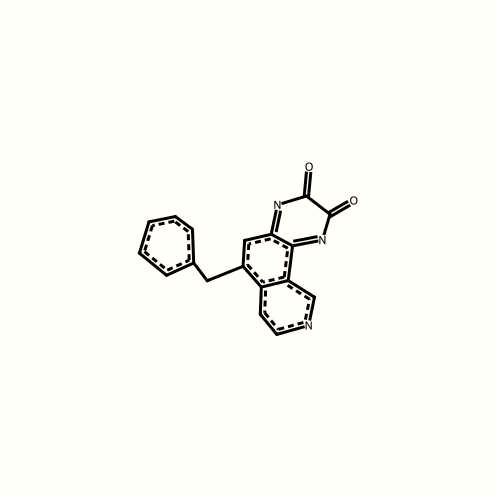 O=C1N=c2cc(Cc3ccccc3)c3ccncc3c2=NC1=O